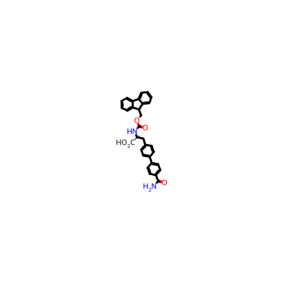 NC(=O)c1ccc(-c2ccc(C[C@@H](NC(=O)OCC3c4ccccc4-c4ccccc43)C(=O)O)cc2)cc1